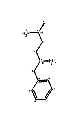 C[C@H](N)CC[C@@H](N)Cc1ccccc1